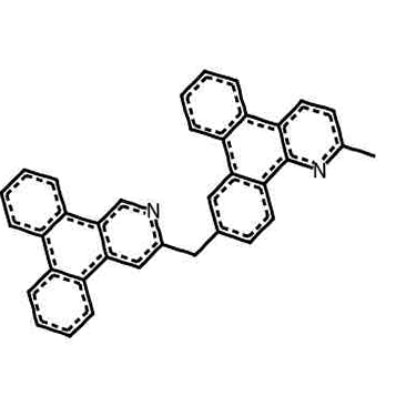 Cc1ccc2c3ccccc3c3cc(Cc4cc5c6ccccc6c6ccccc6c5cn4)ccc3c2n1